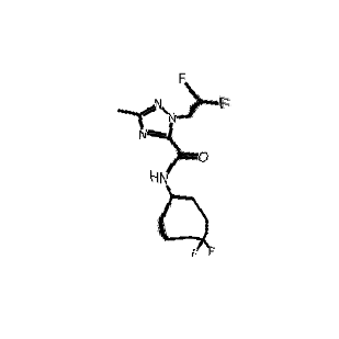 Cc1nc(C(=O)NC2CCC(F)(F)CC2)n(CC(F)F)n1